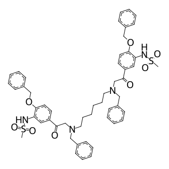 CS(=O)(=O)Nc1cc(C(=O)CN(CCCCCCN(CC(=O)c2ccc(OCc3ccccc3)c(NS(C)(=O)=O)c2)Cc2ccccc2)Cc2ccccc2)ccc1OCc1ccccc1